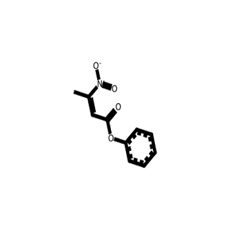 C/C(=C/C(=O)Oc1ccccc1)[N+](=O)[O-]